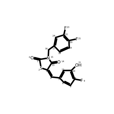 O=C1SC(=Cc2ccc(F)c(O)c2)C(=O)N1Cc1ccc(F)c(F)c1